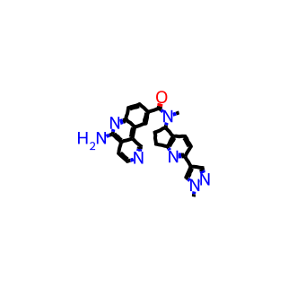 CN(C(=O)c1ccc2nc(N)c3ccncc3c2c1)C1CCc2nc(-c3cnn(C)c3)ccc21